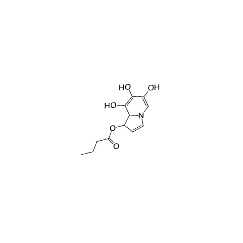 CCCC(=O)OC1C=CN2C=C(O)C(O)=C(O)C12